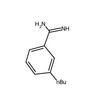 [CH2]CCCc1cccc(C(=N)N)c1